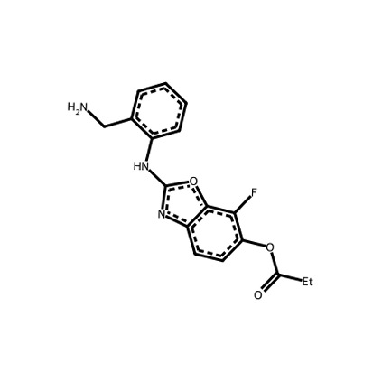 CCC(=O)Oc1ccc2nc(Nc3ccccc3CN)oc2c1F